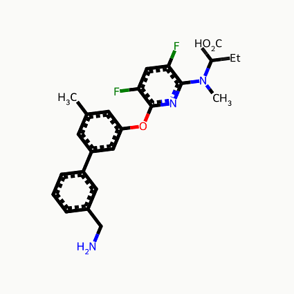 CCC(C(=O)O)N(C)c1nc(Oc2cc(C)cc(-c3cccc(CN)c3)c2)c(F)cc1F